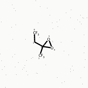 FC(F)(F)CC1(C(F)(F)F)OO1